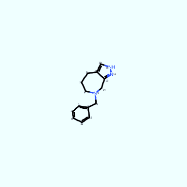 c1ccc(CN2CCCc3c[nH]nc3C2)cc1